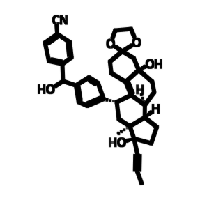 CC#C[C@@]1(O)CC[C@H]2[C@@H]3CC[C@@]4(O)CC5(CCC4=C3[C@@H](c3ccc(C(O)c4ccc(C#N)cc4)cc3)C[C@@]21C)OCCO5